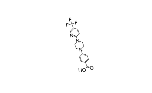 O=C(O)c1ccc(N2CCN(c3ccc(C(F)(F)F)cn3)CC2)cc1